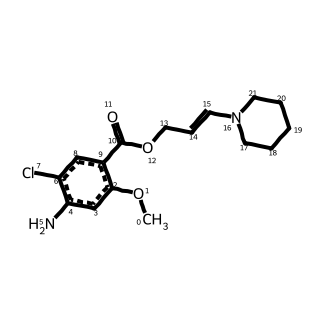 COc1cc(N)c(Cl)cc1C(=O)OCC=CN1CCCCC1